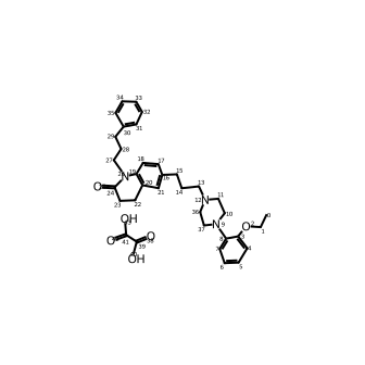 CCOc1ccccc1N1CCN(CCCc2ccc3c(c2)CCC(=O)N3CCCc2ccccc2)CC1.O=C(O)C(=O)O